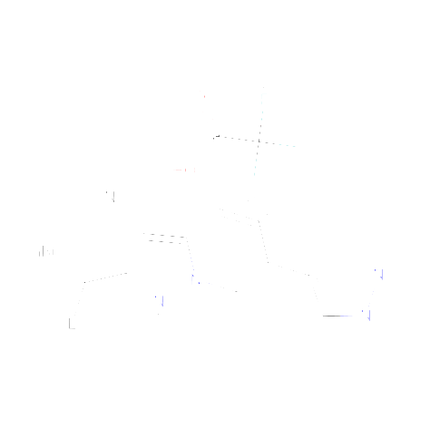 CCCCC(CC)c1nn2cc(-c3cnn(C)c3)ccc2c1C#N.O=C(O)C(F)(F)F